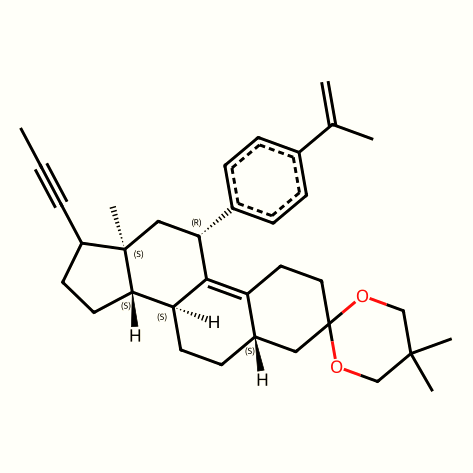 C=C(C)c1ccc([C@H]2C[C@]3(C)C(C#CC)CC[C@H]3[C@@H]3CC[C@H]4CC5(CCC4=C32)OCC(C)(C)CO5)cc1